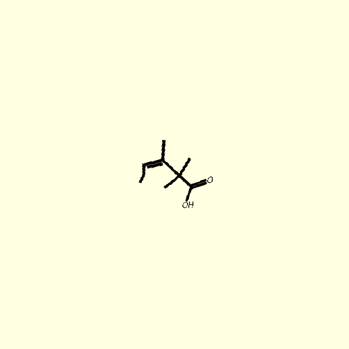 CC=C(C)C(C)(C)C(=O)O